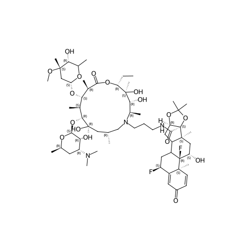 CC[C@H]1OC(=O)[C@H](C)[C@@H](O[C@@H]2C[C@](C)(OC)[C@H](O)C(C)O2)[C@H](C)[C@@H](O[C@@H]2O[C@H](C)C[C@@H](N(C)C)[C@H]2O)[C@](C)(O)C[C@@H](C)CN(CCCNC(=O)[C@@]23OC(C)(C)O[C@@H]2CC2C4C[C@H](F)C5=CC(=O)C=C[C@]5(C)[C@@]4(F)[C@@H](O)C[C@@]23C)[C@H](C)[C@@H](O)[C@]1(C)O